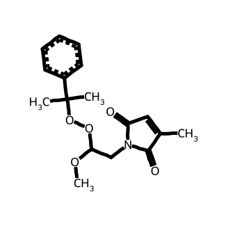 COC(CN1C(=O)C=C(C)C1=O)OOC(C)(C)c1ccccc1